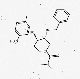 CN(C)C(=O)[C@H]1CC[C@@H](O)[C@H](NCc2ccccc2)C1.Cc1ccc(S(=O)(=O)O)cc1